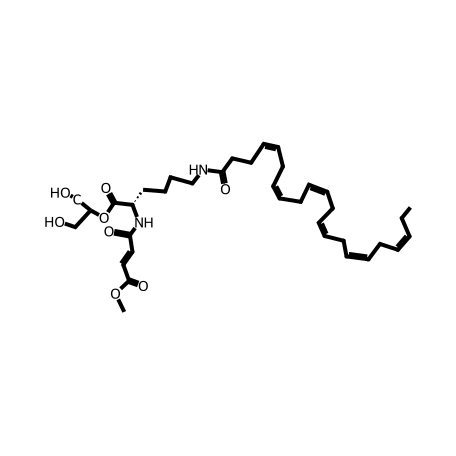 CC/C=C\C/C=C\C/C=C\C/C=C\C/C=C\C/C=C\CCC(=O)NCCCC[C@H](NC(=O)/C=C/C(=O)OC)C(=O)OC(CO)CO